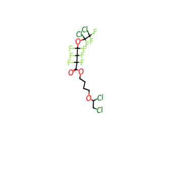 O=C(OCCCCOC(Cl)CCl)C(F)(F)C(F)(F)C(F)(F)OC(F)(Cl)C(F)(F)Cl